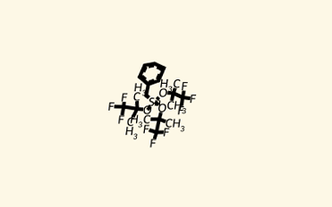 CC(C)([O][Sn]([CH2]c1ccccc1)([O]C(C)(C)C(F)(F)F)[O]C(C)(C)C(F)(F)F)C(F)(F)F